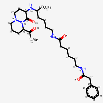 CCOC(=O)C(CCCCNC(=O)CCCCCNC(=O)Cc1ccccc1)NC1CCN2CCCC(C(=O)OC)N2C1=O